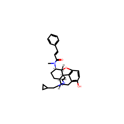 CN(C(=O)C=Cc1ccccc1)[C@@H]1CC[C@H]2[C@H]3Cc4c(O)ccc5c4[C@@]2(CCN3CC2CC2)[C@H]1O5